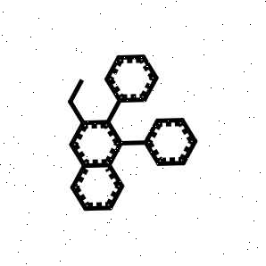 CCc1cc2ccccc2c(-c2ccccc2)c1-c1ccccc1